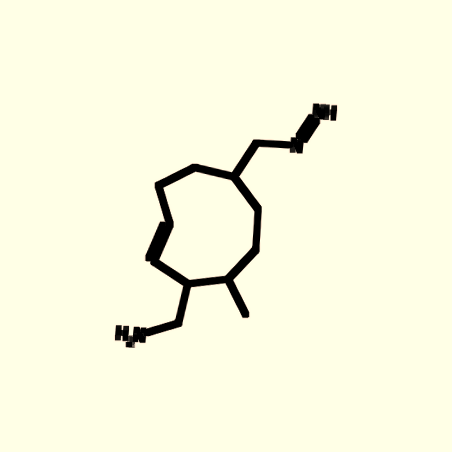 CC1CCC(CN=N)CC/C=C/C1CN